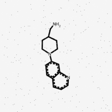 NCC1CCN(c2[c]cc3cccnc3c2)CC1